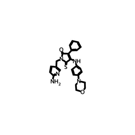 Nc1ccc(CN2C(=O)C(c3ccccc3)=C(Nc3ccc(N4CCOCC4)cc3)C2=S)cn1